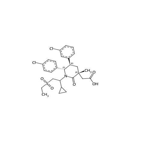 CCS(=O)(=O)CC(C1CC1)N1C(=O)[C@@](C)(CC(=O)O)C[C@H](c2cccc(Cl)c2)[C@H]1c1ccc(Cl)cc1